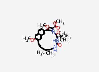 COC(=O)[C@@H]1C[C@]2(OC)CN1C(=O)[C@H](C(C)(C)C)NC(=O)NCCC(C)(C)CC=Cc1cc3cc2ccc3cc1OC